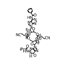 CC(C)C(=O)Nc1nc2c(ncn2C2OC3COP(=S)(OCCC#N)O[C@@H]4C(COP(=S)(OCCC#N)O[C@H]3[C@H]2F)OC(n2cnc3c(NC(=O)c5ccccc5)ncnc32)[C@@H]4F)c(=O)[nH]1